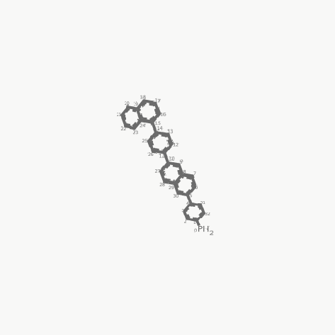 Pc1ccc(-c2ccc3cc(-c4ccc(-c5cccc6ccccc56)cc4)ccc3c2)cc1